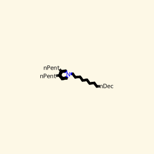 CCCCCCCCCCCCCCCCCC[n+]1ccc(CCCCC)c(CCCCC)c1